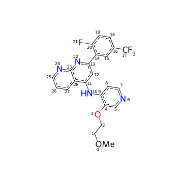 COCCOc1cnccc1Nc1cc(-c2cc(C(F)(F)F)ccc2F)nc2ncccc12